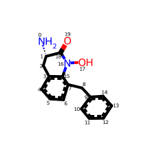 N[C@H]1Cc2cccc(Cc3ccccc3)c2N(O)C1=O